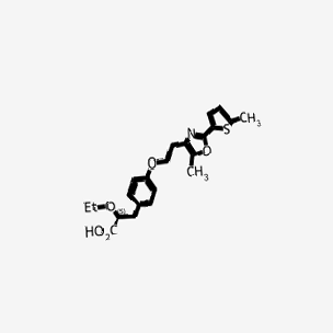 CCO[C@@H](Cc1ccc(OCCc2nc(-c3ccc(C)s3)oc2C)cc1)C(=O)O